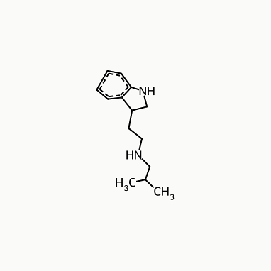 CC(C)CNCCC1CNc2ccccc21